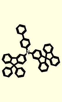 c1ccc(-c2ccc(N(c3ccc4c(c3)-c3ccccc3C4(c3ccccc3)c3ccccc3)c3ccc4c(c3)-c3ccccc3C43c4ccccc4-c4ccccc43)cc2)cc1